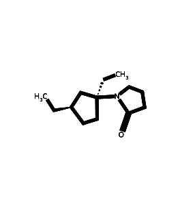 CC[C@@H]1CC[C@](CC)(N2CCCC2=O)C1